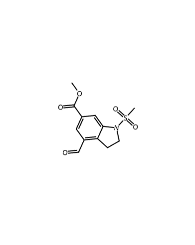 COC(=O)c1cc(C=O)c2c(c1)N(S(C)(=O)=O)CC2